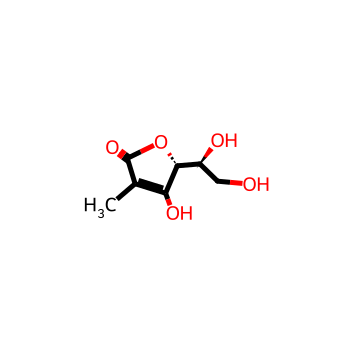 CC1=C(O)[C@@H]([C@@H](O)CO)OC1=O